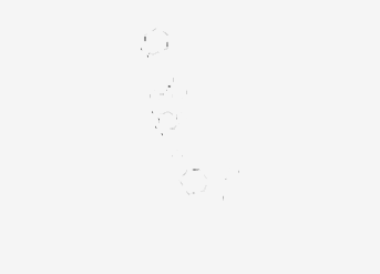 CCCCC1OC(=O)c2cc(OCc3nnc(S(=O)(=O)OCc4ccccn4)o3)ccc21